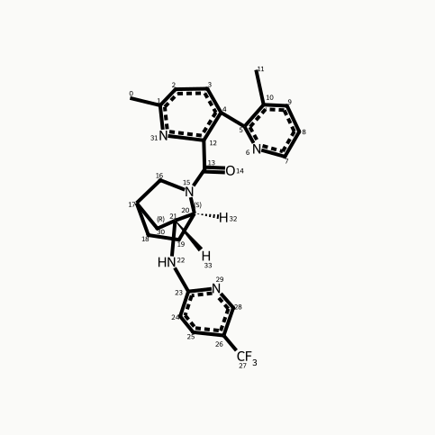 Cc1ccc(-c2ncccc2C)c(C(=O)N2CC3CC[C@H]2[C@H](Nc2ccc(C(F)(F)F)cn2)C3)n1